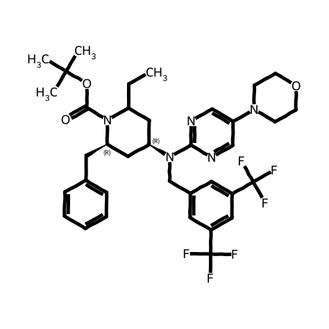 CCC1C[C@@H](N(Cc2cc(C(F)(F)F)cc(C(F)(F)F)c2)c2ncc(N3CCOCC3)cn2)C[C@@H](Cc2ccccc2)N1C(=O)OC(C)(C)C